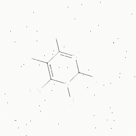 NC1=C(Cl)C(Cl)=NC(C(=O)O)N1Cl